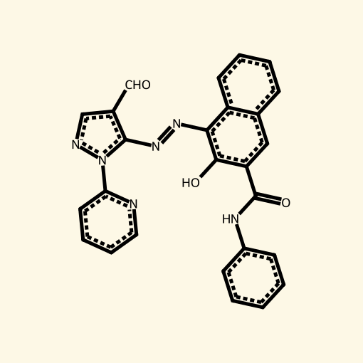 O=Cc1cnn(-c2ccccn2)c1/N=N/c1c(O)c(C(=O)Nc2ccccc2)cc2ccccc12